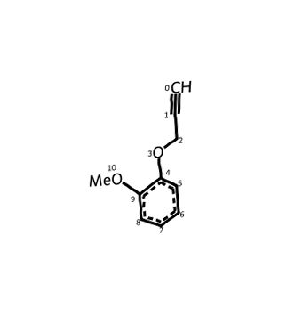 C#CCOc1ccccc1OC